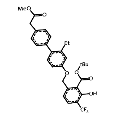 CCc1cc(OCc2ccc(C(F)(F)F)c(O)c2C(=O)OC(C)(C)C)ccc1-c1ccc(CC(=O)OC)cc1